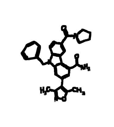 Cc1noc(C)c1-c1cc(C(N)=O)c2c3cc(C(=O)N4CCCC4)ccc3n(Cc3ccccc3)c2c1